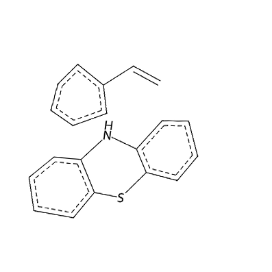 C=Cc1ccccc1.c1ccc2c(c1)Nc1ccccc1S2